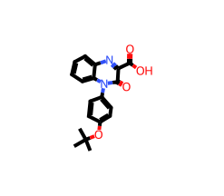 CC(C)(C)Oc1ccc(-n2c(=O)c(C(=O)O)nc3ccccc32)cc1